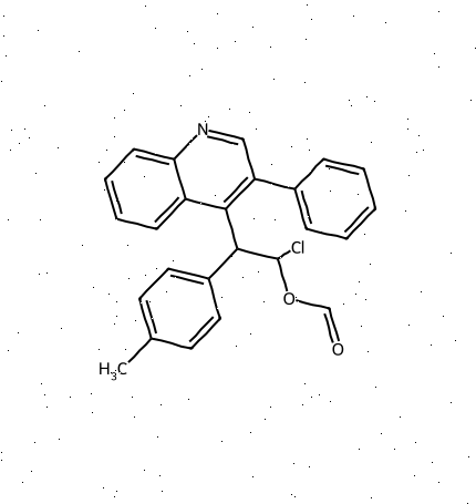 Cc1ccc(C(c2c(-c3ccccc3)cnc3ccccc23)C(Cl)OC=O)cc1